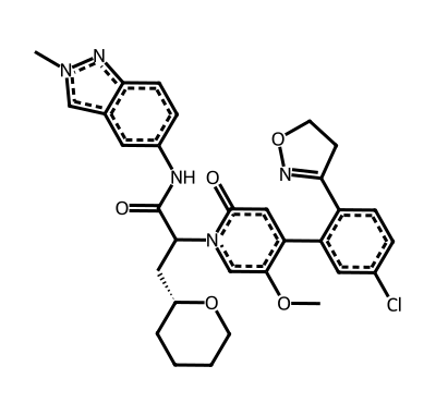 COc1cn(C(C[C@H]2CCCCO2)C(=O)Nc2ccc3nn(C)cc3c2)c(=O)cc1-c1cc(Cl)ccc1C1=NOCC1